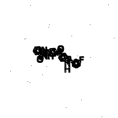 O=C(c1ccc2[nH]c(-c3cccc(F)c3)cc2c1)N1CCN(c2nc3ccccc3c(=O)[nH]2)CC1